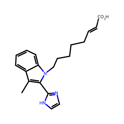 Cc1c(-c2ncc[nH]2)n(CCCCC/C=C/C(=O)O)c2ccccc12